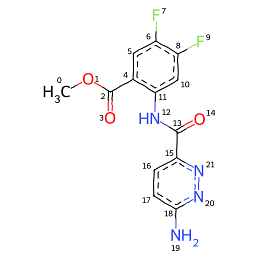 COC(=O)c1cc(F)c(F)cc1NC(=O)c1ccc(N)nn1